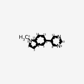 Cn1ccc2cc(-c3cncnc3)ccc21